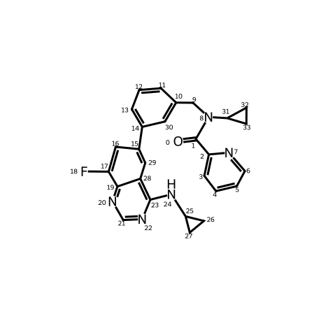 O=C(c1ccccn1)N(Cc1cccc(-c2cc(F)c3ncnc(NC4CC4)c3c2)c1)C1CC1